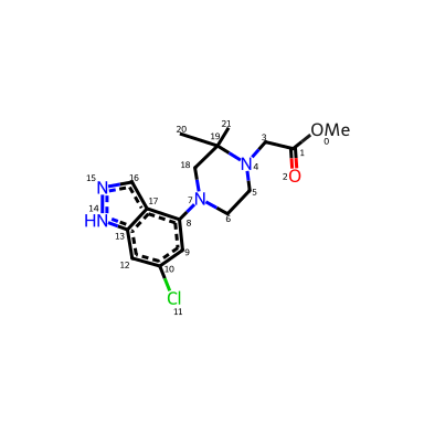 COC(=O)CN1CCN(c2cc(Cl)cc3[nH]ncc23)CC1(C)C